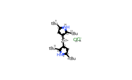 CC(C)(C)c1c[c]([Zr+2][c]2cc(C(C)(C)C)[nH]c2C(C)(C)C)c(C(C)(C)C)[nH]1.[Cl-].[Cl-]